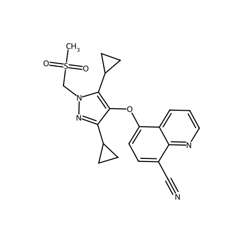 CS(=O)(=O)Cn1nc(C2CC2)c(Oc2ccc(C#N)c3ncccc23)c1C1CC1